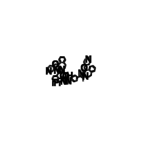 Cc1c(-c2ccc(N3CC[N+](C(C)C)(C(O)c4ccccc4-c4cn5c(n4)C(OC4CCN(C)CC4)c4ccccc4CC5)C3=O)cc2)nc2n1CCc1ccccc1C2OC1CCN(C)CC1